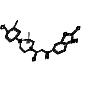 Cc1cc(N2CCN(C(=O)CNc3ccc4[nH]c(=O)oc4c3)C[C@H]2C)ccc1Cl